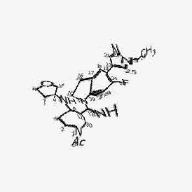 CC(=O)N1CCC(NC2CCOC2)=C(C(=N)N2CCc3cc(-c4cnn(C)c4)c(F)cc32)C1